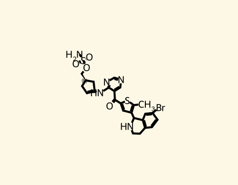 Cc1sc(C(=O)c2cncnc2NC2=CC[C@@H](COS(N)(=O)=O)C2)cc1C1NCCc2ccc(Br)cc21